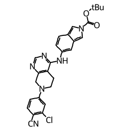 CC(C)(C)OC(=O)n1cc2ccc(Nc3ncnc4c3CCN(c3ccc(C#N)c(Cl)c3)C4)cc2c1